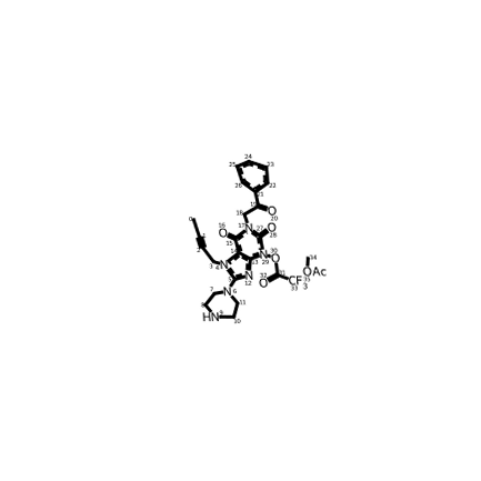 CC#CCn1c(N2CCNCC2)nc2c1c(=O)n(CC(=O)c1ccccc1)c(=O)n2OC(=O)C(F)(F)F.COC(C)=O